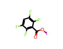 O=C(OI)c1c(F)c(F)cc(F)c1F